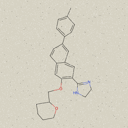 Cc1ccc(-c2ccc3cc(OCC4CCCCO4)c(C4=NCCN4)cc3c2)cc1